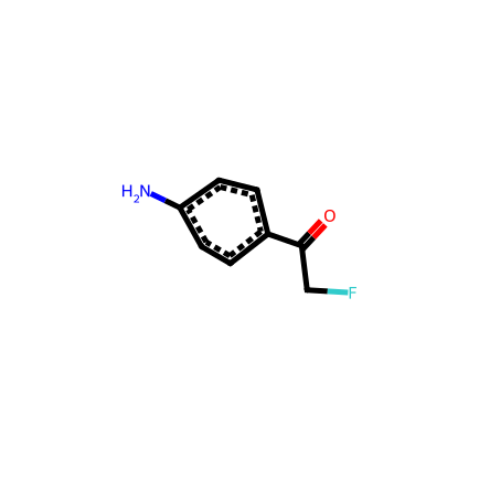 Nc1ccc(C(=O)CF)cc1